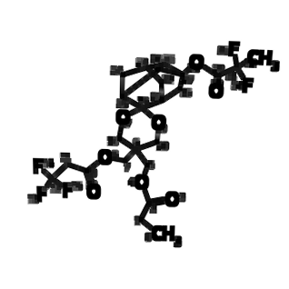 CCC(=O)OCC1(COC(=O)CC(F)(F)F)COC2(OC1)C1CC3CC2CC(OC(=O)C(C)(F)F)(C3)C1